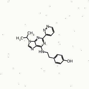 CC(C)n1cnc2c(NCCc3ccc(O)cc3)nc(-c3cccnn3)nc21